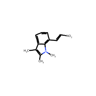 Cc1c(C)n(C)c2c(C=C[N+](=O)[O-])cccc12